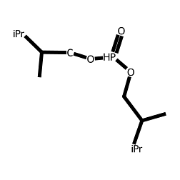 CC(C)C(C)CO[PH](=O)OCC(C)C(C)C